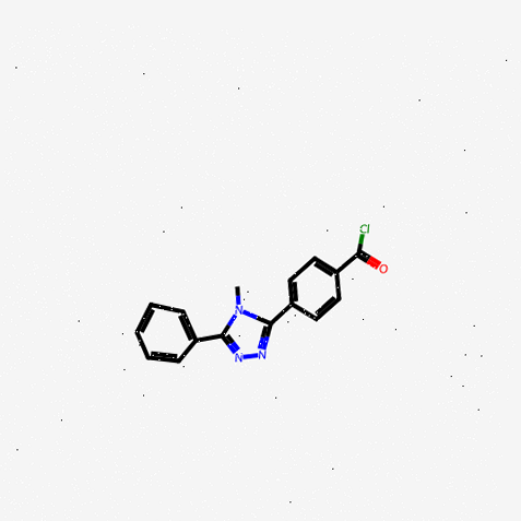 Cn1c(-c2ccccc2)nnc1-c1ccc(C(=O)Cl)cc1